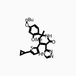 CCCCOc1ccc(C2(C)CC(c3ccc(C4CC4)s3)=C(c3nnc[nH]3)C(=O)N2)c(OC)c1